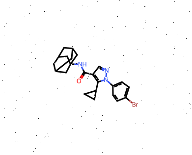 O=C(NC12CC3CC(CC(C3)C1)C2)c1cnn(-c2ccc(Br)cc2)c1C1CC1